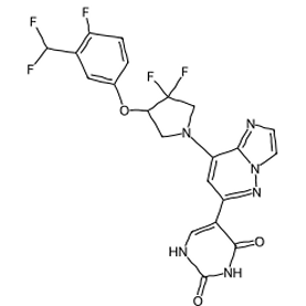 O=c1[nH]cc(-c2cc(N3CC(Oc4ccc(F)c(C(F)F)c4)C(F)(F)C3)c3nccn3n2)c(=O)[nH]1